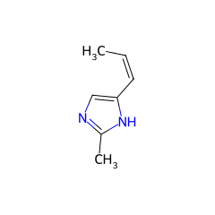 C/C=C\c1cnc(C)[nH]1